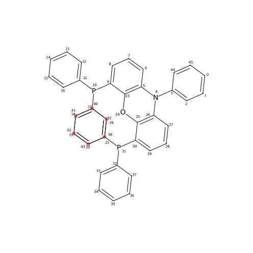 c1ccc(N2c3cccc(P(c4ccccc4)c4ccccc4)c3Oc3c2cccc3P(c2ccccc2)c2ccccc2)cc1